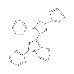 c1ccc(-c2cc(-c3sc(-c4ccccc4)c4ccccc34)c(-c3ccccc3)s2)cc1